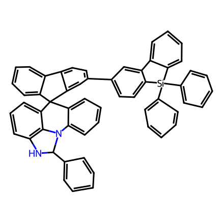 c1ccc(C2Nc3cccc4c3N2c2ccccc2C42c3ccccc3-c3ccc(-c4ccc5c(c4)-c4ccccc4[Si]5(c4ccccc4)c4ccccc4)cc32)cc1